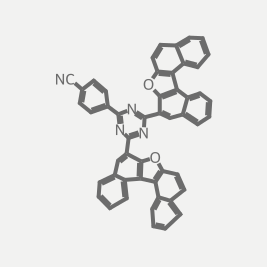 N#Cc1ccc(-c2nc(-c3cc4ccccc4c4c3oc3ccc5ccccc5c34)nc(-c3cc4ccccc4c4c3oc3ccc5ccccc5c34)n2)cc1